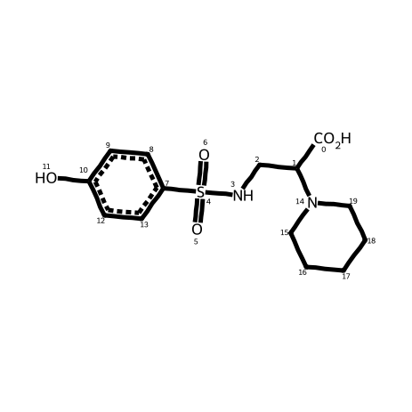 O=C(O)C(CNS(=O)(=O)c1ccc(O)cc1)N1CCCCC1